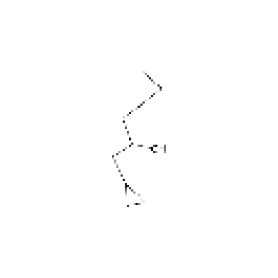 OC(CC1CC1)CC1CC1